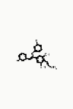 CCCc1c(O)cc(C(=Cc2cccc(F)c2)Cc2cccc(F)c2)cc1O